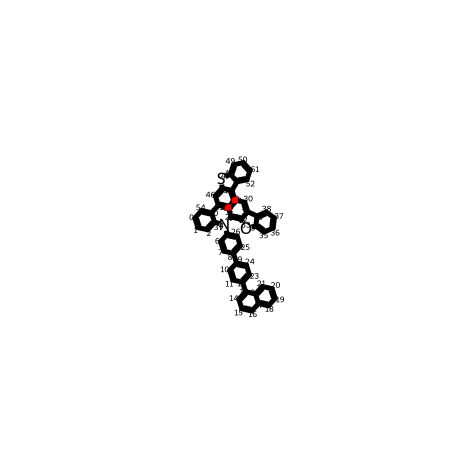 c1ccc(N(c2ccc(-c3ccc(-c4cccc5ccccc45)cc3)cc2)c2cccc3c2oc2ccccc23)c(-c2ccc3c(c2)sc2ccccc23)c1